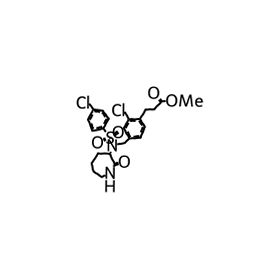 COC(=O)CCc1ccc(CN([C@@H]2CCCCNC2=O)S(=O)(=O)c2ccc(Cl)cc2)cc1Cl